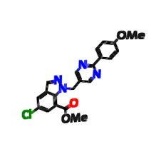 COC(=O)c1cc(Cl)cc2cnn(Cc3cnc(-c4ccc(OC)cc4)nc3)c12